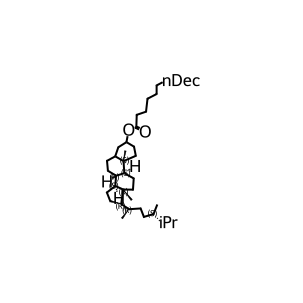 CCCCCCCCCCCCCCCC(=O)OC1CC[C@@]2(C)C(CC[C@H]3[C@@H]4CC[C@H]([C@H](C)CC[C@H](C)C(C)C)[C@@]4(C)CC[C@@H]32)C1